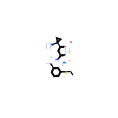 CCC(F)(F)c1cccc([C@@H](C)Nc2ncnc3nc(OC)c(C4(C#N)CC4)cc23)c1